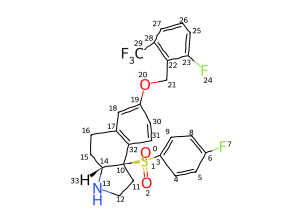 O=S(=O)(c1ccc(F)cc1)[C@@]12CCN[C@@H]1CCc1cc(OCc3c(F)cccc3C(F)(F)F)ccc12